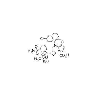 CC(C)(C)[Si](C)(C)O[C@H]([C@@H]1CCC[C@@H](S(N)(=O)=O)C1)[C@@H]1CC[C@H]1CN1C[C@@]2(CCCc3cc(Cl)ccc32)COc2ccc(C(=O)O)cc21